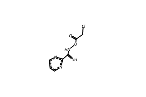 N=C(NOC(=O)CCl)c1ncccn1